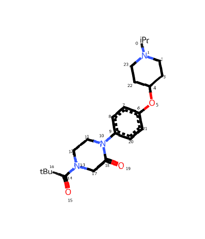 CC(C)N1CCC(Oc2ccc(N3CCN(C(=O)C(C)(C)C)CC3=O)cc2)CC1